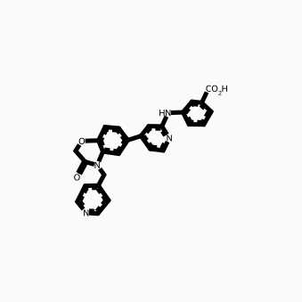 O=C(O)c1cccc(Nc2cc(-c3ccc4c(c3)N(Cc3ccncc3)C(=O)CO4)ccn2)c1